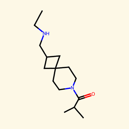 CCNCC1CC2(CCN(C(=O)C(C)C)CC2)C1